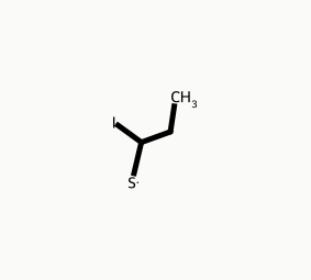 CCC([S])I